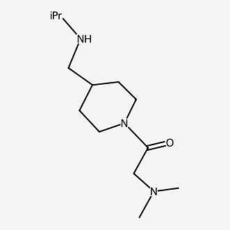 CC(C)NCC1CCN(C(=O)CN(C)C)CC1